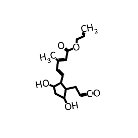 C=CCOC(=O)C=C(C)C=CC1C(O)CC(O)C1CC=C=O